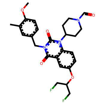 COc1ccc(Cn2c(=O)c3cc(OC(CF)CF)ccc3n(C3CCN(C=O)CC3)c2=O)cc1C